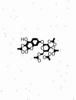 CC(=O)OC[C@H]1O[C@@H](Oc2ccc3c(O)c(OC(C)=O)c(=O)oc3c2)[C@H](OC(C)=O)[C@@H](OC(C)=O)[C@@H]1OC(C)=O